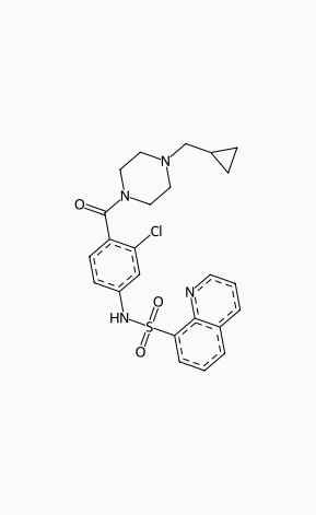 O=C(c1ccc(NS(=O)(=O)c2cccc3cccnc23)cc1Cl)N1CCN(CC2CC2)CC1